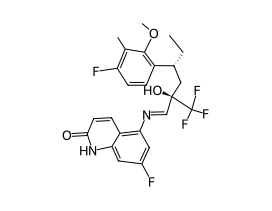 CC[C@H](C[C@@](O)(C=Nc1cc(F)cc2[nH]c(=O)ccc12)C(F)(F)F)c1ccc(F)c(C)c1OC